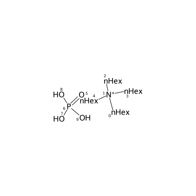 CCCCCC[N+](CCCCCC)(CCCCCC)CCCCCC.O=P(O)(O)O